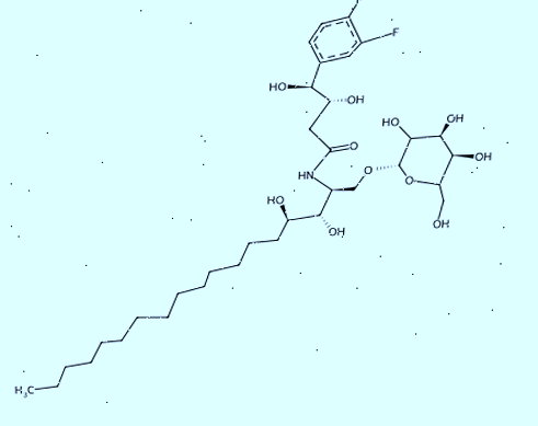 CCCCCCCCCCCCCC[C@@H](O)[C@@H](O)[C@H](CO[C@H]1OC(CO)[C@H](O)[C@H](O)C1O)NC(=O)C[C@@H](O)[C@@H](O)c1ccc(F)c(F)c1